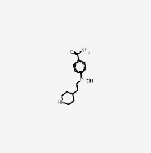 Cl.NC(=O)c1ccc(OCCC2CCNCC2)cc1